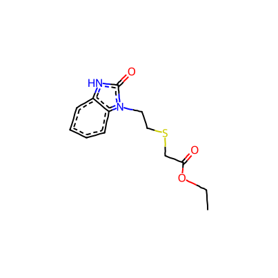 CCOC(=O)CSCCn1c(=O)[nH]c2ccccc21